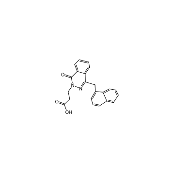 O=C(O)CCn1nc(Cc2cccc3ccccc23)c2ccccc2c1=O